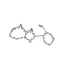 N#Cc1ccccc1-c1nc2ncccc2o1